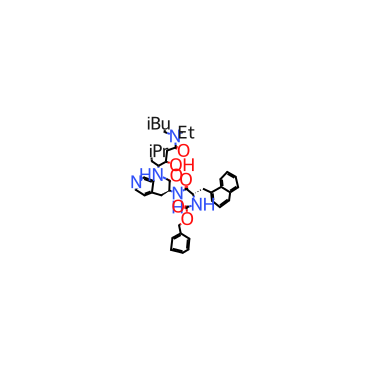 CCC(C)CN(CC)C(=O)CC(O)C(CC(C)C)NC(=O)[C@H](Cc1ccncc1)NC(=O)[C@H](Cc1cccc2ccccc12)NC(=O)OCc1ccccc1